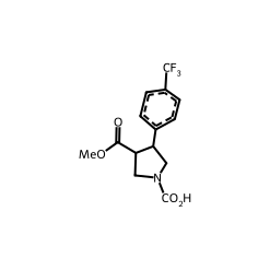 COC(=O)C1CN(C(=O)O)CC1c1ccc(C(F)(F)F)cc1